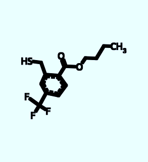 CCCCOC(=O)c1ccc(C(F)(F)F)cc1CS